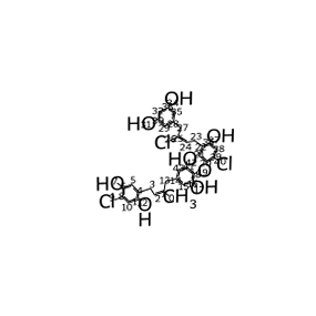 C/C(=C/Cc1cc(O)c(Cl)cc1O)Cc1cc(O)c(Oc2cc(C/C=C(/Cl)Cc3cc(O)cc(O)c3)c(O)cc2Cl)c(O)c1